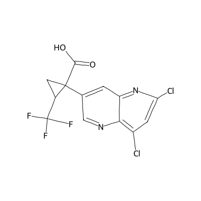 O=C(O)C1(c2cnc3c(Cl)cc(Cl)nc3c2)CC1C(F)(F)F